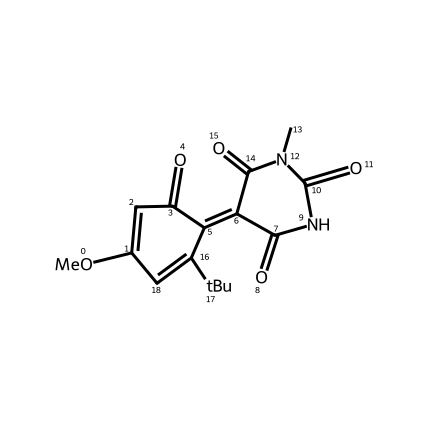 COC1=CC(=O)/C(=C2/C(=O)NC(=O)N(C)C2=O)C(C(C)(C)C)=C1